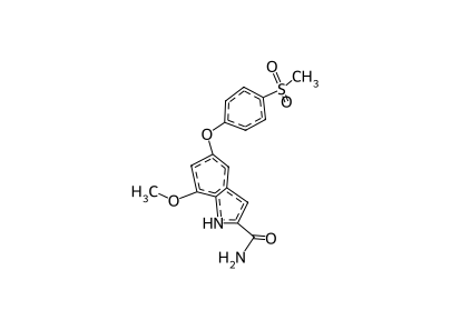 COc1cc(Oc2ccc(S(C)(=O)=O)cc2)cc2cc(C(N)=O)[nH]c12